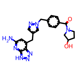 Nc1cc(Cc2cnn(Cc3ccc(C(=O)N4CCC(O)C4)cc3)c2)c2nn[nH]c2n1